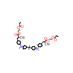 C=CC(=O)OCCOC(=O)/C(C#N)=C/c1ccc(N(C)c2ccc(C(C)(C)c3ccc(N(C)c4ccc(/C=C(\C#N)C(=O)OCCOC(=O)C=C)cc4)cc3)cc2)cc1